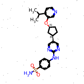 CC(C)c1ccncc1O[C@H]1CC[C@@H](c2cnc(Nc3ccc(S(N)(=O)=O)cc3)nc2)C1